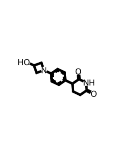 O=C1CCC(c2ccc(N3CC(O)C3)cc2)C(=O)N1